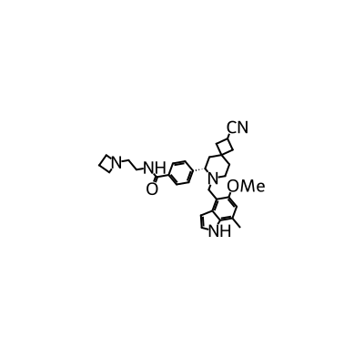 COc1cc(C)c2[nH]ccc2c1CN1CCC2(CC(C#N)C2)C[C@H]1c1ccc(C(=O)NCCN2CCC2)cc1